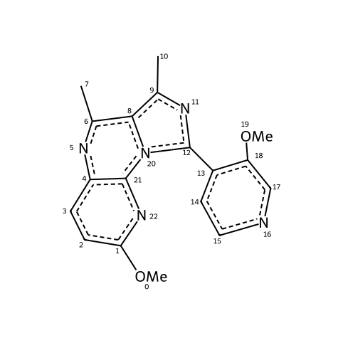 COc1ccc2nc(C)c3c(C)nc(-c4ccncc4OC)n3c2n1